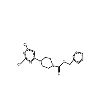 O=C(OCc1ccccc1)N1CCN(c2cc(Cl)nc(Cl)n2)CC1